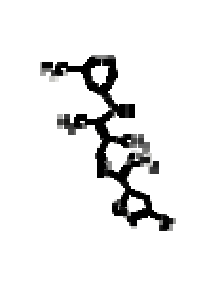 C=C(/N=C\C(C)=C(/C)Nc1cccc(C(F)(F)F)c1)[C@H]1CC(Br)=NO1